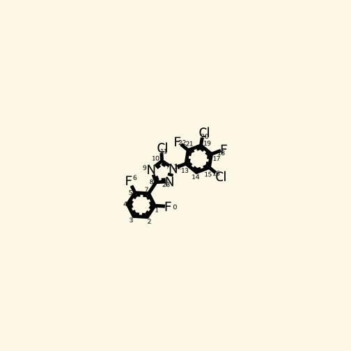 Fc1cccc(F)c1-c1nc(Cl)n(-c2cc(Cl)c(F)c(Cl)c2F)n1